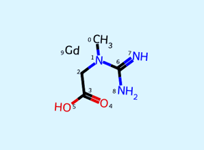 CN(CC(=O)O)C(=N)N.[Gd]